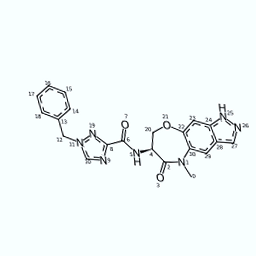 CN1C(=O)[C@@H](NC(=O)c2ncn(Cc3ccccc3)n2)COc2cc3[nH]ncc3cc21